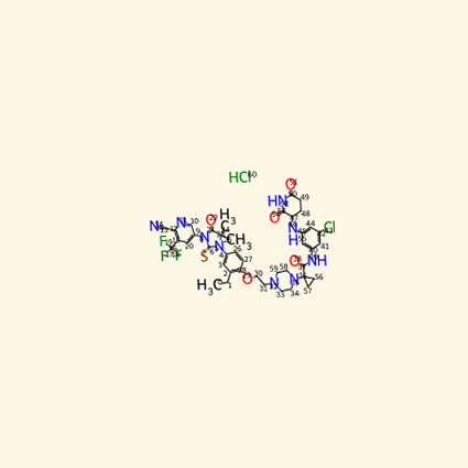 CCc1cc(N2C(=S)N(c3cnc(C#N)c(C(F)(F)F)c3)C(=O)C2(C)C)ccc1OCCN1CCN(C2(C(=O)Nc3cc(Cl)cc(NC4CCC(=O)NC4=O)c3)CC2)CC1.Cl